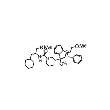 CNC[C@H](CC1CCCCC1)NC(=O)N1CCC[C@@H]([C@@](O)(CCCCOC)c2ccccc2OCc2ccccc2)C1